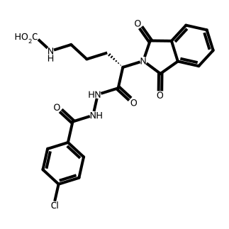 O=C(O)NCCC[C@@H](C(=O)NNC(=O)c1ccc(Cl)cc1)N1C(=O)c2ccccc2C1=O